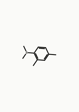 CB(C)c1ccc(C)cc1C